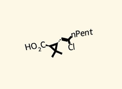 CCCCCC(Cl)=C[C@H]1[C@H](C(=O)O)C1(C)C